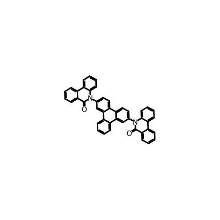 O=c1c2ccccc2c2ccccc2n1-c1ccc2c3ccc(-n4c(=O)c5ccccc5c5ccccc54)cc3c3ccccc3c2c1